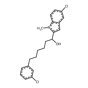 Cn1c(C(O)CCCCCc2cccc(Cl)c2)cc2cc(Cl)ccc21